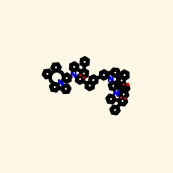 c1ccc(-c2ccccc2-c2ccccc2N(c2ccc(-c3cccc4cc(-c5ccc6c7cccc8c7n(c6c5)-c5ccc(N(c6ccccc6-c6ccccc6-c6ccccc6)c6cccc7ccccc67)cc5C85c6ccccc6-c6ccccc65)ccc34)cc2)c2ccc3c(c2)Cc2ccccc2-c2ccccc2Cc2cccc4c5ccccc5n-3c24)cc1